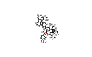 CC(C)(C)c1ccc(-c2ccc(N(c3ccc4c(c3)-c3ccccc3C43c4ccccc4-c4ccccc43)c3ccc4ccccc4c3-c3cccc4c3C(C)(C)C3=C4C=CCC3)cc2)cc1